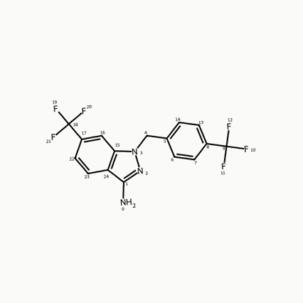 Nc1nn(Cc2ccc(C(F)(F)F)cc2)c2cc(C(F)(F)F)ccc12